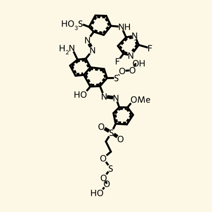 COc1ccc(S(=O)(=O)CCOSOOO)cc1/N=N/c1c(SOOO)cc2c(/N=N/c3cc(Nc4cc(F)nc(F)n4)ccc3S(=O)(=O)O)c(N)ccc2c1O